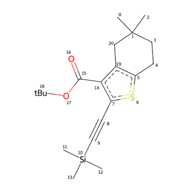 CC1(C)CCc2sc(C#C[Si](C)(C)C)c(C(=O)OC(C)(C)C)c2C1